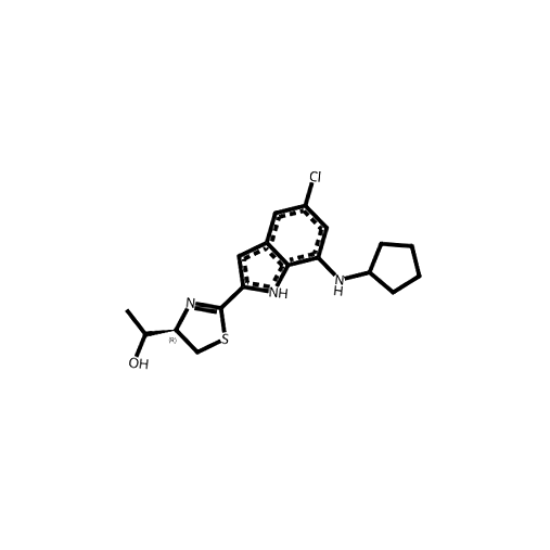 CC(O)[C@@H]1CSC(c2cc3cc(Cl)cc(NC4CCCC4)c3[nH]2)=N1